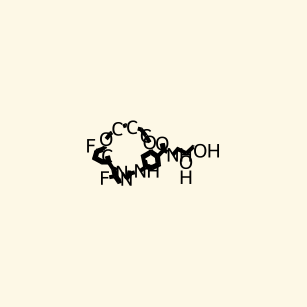 O=C(NCC(O)CO)c1ccc2cc1OCCCCCCOc1cc(ccc1F)-c1nc(ncc1F)N2